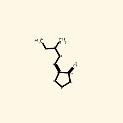 CCC(C)CC=C1CCCC1=O